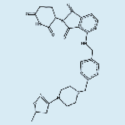 CC1CC(N2CCN(Cc3ccc(CNc4cccc5c4C(=O)N(C4CCC(=O)NC4=O)C5=O)cc3)CC2)=NO1